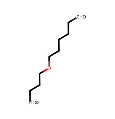 CCCCCCCCCOCCCCCC=O